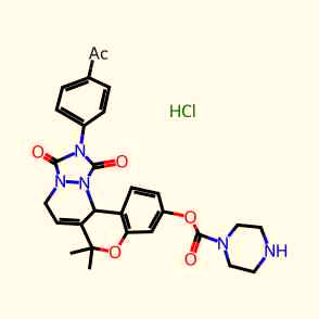 CC(=O)c1ccc(-n2c(=O)n3n(c2=O)C2C(=CC3)C(C)(C)Oc3cc(OC(=O)N4CCNCC4)ccc32)cc1.Cl